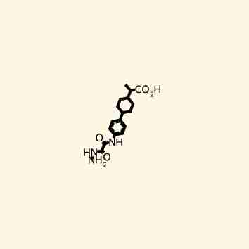 CC(C(=O)O)C1CCC(c2ccc(NC(=O)C(=O)NN)cc2)CC1